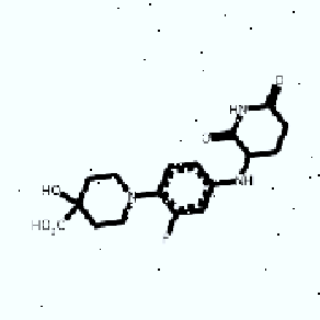 O=C1CCC(Nc2ccc(N3CCC(O)(C(=O)O)CC3)c(F)c2)C(=O)N1